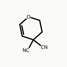 N#CC1(C#N)C=COCC1